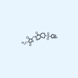 Cc1[nH]nc(Cn2ncc3cc(S(=O)(=O)c4cn[nH]c4)ccc3c2=O)c1Cl